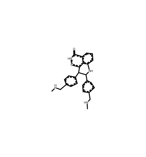 CNCc1ccc(C2Nc3cccc4c(=O)[nH]nc(c34)C2c2ccc(CNC)cc2)cc1